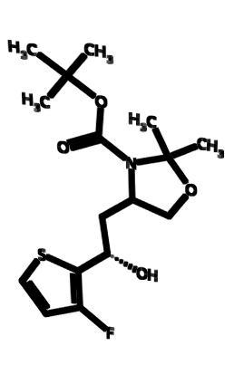 CC(C)(C)OC(=O)N1C(C[C@H](O)c2sccc2F)COC1(C)C